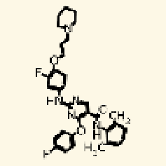 Cc1cccc(C)c1NC(=O)c1cnc(Nc2ccc(OCCCN3CCCCC3)c(F)c2)nc1Oc1ccc(F)cc1